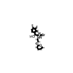 OC(c1ccc(F)c(F)c1F)c1nc(Br)nn1CCOC1CCCCO1